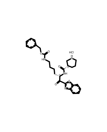 Cl.O=C(NCCCC[C@H](NC(=O)[C@H]1CCCNC1)C(=O)c1nc2ccccc2s1)OCc1ccccc1